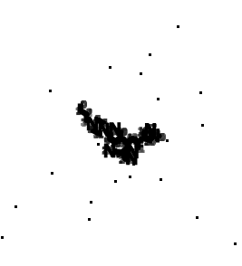 CCCCN1CCN(c2ccc(-c3cc(-c4cnn(C)c4)cn4ncc(C#N)c34)cn2)CC1